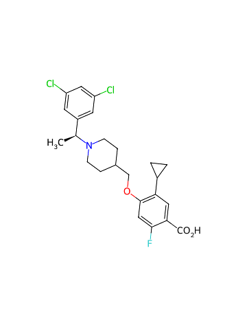 C[C@@H](c1cc(Cl)cc(Cl)c1)N1CCC(COc2cc(F)c(C(=O)O)cc2C2CC2)CC1